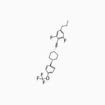 CCCc1cc(F)c(C#C[C@H]2CC[C@H](c3ccc(OC(F)(F)F)cc3)CC2)c(F)c1